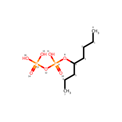 CCCCC(CCC)OP(=O)(O)OP(=O)(O)O